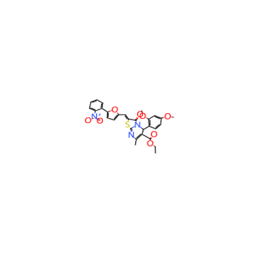 CCOC(=O)C1=C(C)N=c2s/c(=C\c3ccc(-c4ccccc4[N+](=O)[O-])o3)c(=O)n2C1c1ccc(OC)cc1OC